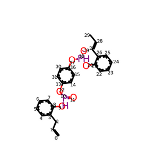 C=CCc1ccccc1O[PH](=O)Oc1ccc(O[PH](=O)Oc2ccccc2C=CC)cc1